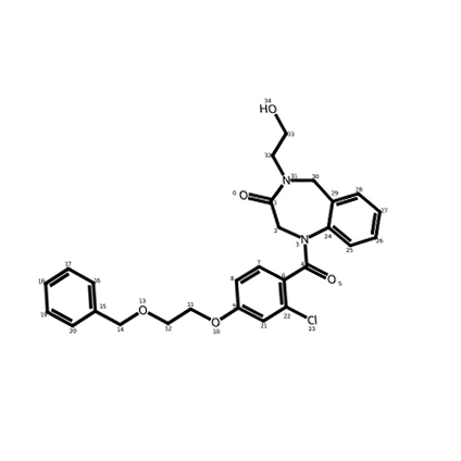 O=C1CN(C(=O)c2ccc(OCCOCc3ccccc3)cc2Cl)c2ccccc2CN1CCO